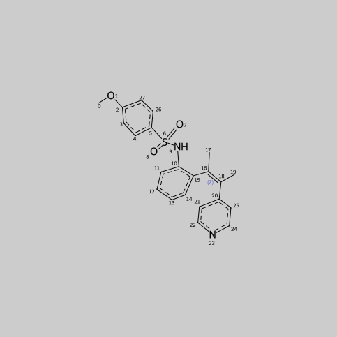 COc1ccc(S(=O)(=O)Nc2ccccc2/C(C)=C(/C)c2ccncc2)cc1